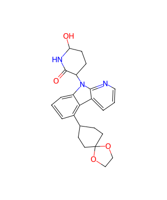 O=C1NC(O)CCC1n1c2cccc(C3CCC4(CC3)OCCO4)c2c2cccnc21